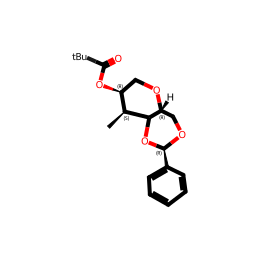 C[C@@H]1C2O[C@H](c3ccccc3)OC[C@H]2OC[C@@H]1OC(=O)C(C)(C)C